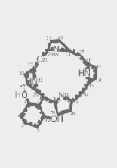 Oc1cccc(O)c1-c1c2nc(cc3ccc(cc4nc(cc5ccc1[nH]5)C=C4)[nH]3)C=C2